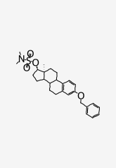 CN(C)S(=O)(=O)O[C@@H]1CCC2C3CCc4cc(OCc5ccccc5)ccc4C3CC[C@@]21C